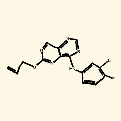 C=CCOc1ncc2ncnc(Nc3ccc(F)c(Cl)c3)c2n1